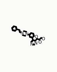 O=CC(=O)C(=O)c1ncncc1-c1cccc(N2CCN(C=Cc3ccccc3)CC2)c1